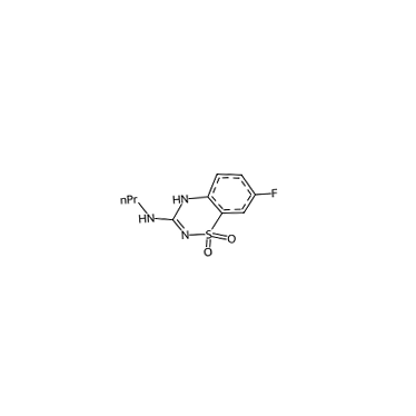 CCCNC1=NS(=O)(=O)c2cc(F)ccc2N1